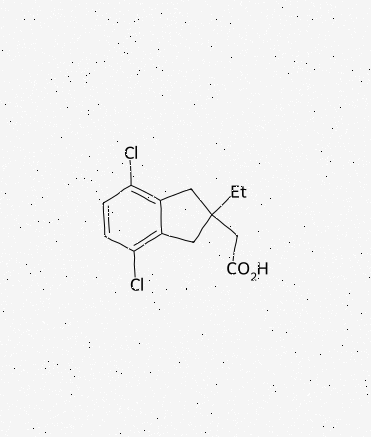 CCC1(CC(=O)O)Cc2c(Cl)ccc(Cl)c2C1